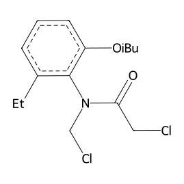 CCc1cccc(OCC(C)C)c1N(CCl)C(=O)CCl